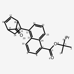 CC(C)C(C)(C)OC(=O)c1cccc2c(C3CC4C=CC3C4=O)cccc12